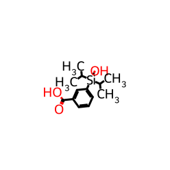 CC(C)[Si](O)(c1cccc(C(=O)O)c1)C(C)C